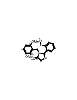 CCOc1ccccc1C1SCC(=O)N1Cc1c(OC)cccc1OC